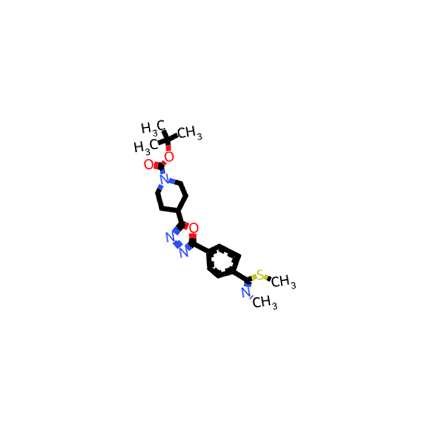 CN=C(SC)c1ccc(-c2nnc(C3CCN(C(=O)OC(C)(C)C)CC3)o2)cc1